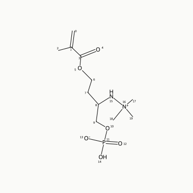 C=C(C)C(=O)OCCC(COP(=O)([O-])O)N[N+](C)(C)C